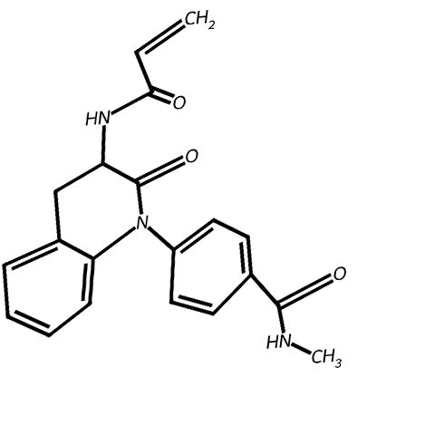 C=CC(=O)NC1Cc2ccccc2N(c2ccc(C(=O)NC)cc2)C1=O